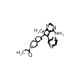 C=CC(=O)N1CCC2(CC=C(c3c(-c4cnccn4)c4c(N)ncnc4n3C)CC2)CC1